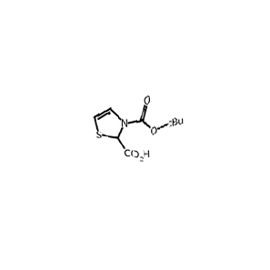 CC(C)(C)OC(=O)N1C=CSC1C(=O)O